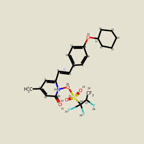 Cc1cc(/C=C/c2ccc(OC3CCCCC3)cc2)n(OS(=O)(=O)C(F)(F)C(F)C(F)(F)F)c(=O)c1